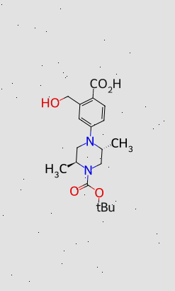 C[C@@H]1CN(C(=O)OC(C)(C)C)[C@@H](C)CN1c1ccc(C(=O)O)c(CO)c1